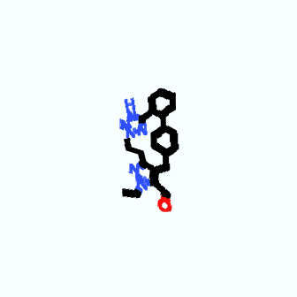 CCCc1nn(CC)c(C=O)c1Cc1ccc(-c2ccccc2-c2nnn[nH]2)cc1